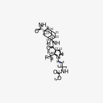 COC(=O)NC(C)(C)/C=C/n1ncc(C(=O)N[C@H]2C3CC4CC2C[C@](C(N)=O)(C4)C3)c1C(F)(F)F